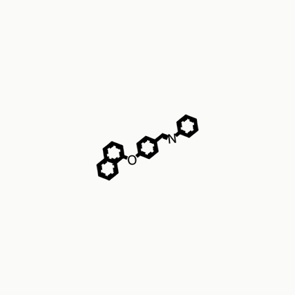 C(=Nc1ccccc1)c1ccc(Oc2cccc3ccccc23)cc1